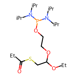 CCOC(CSC(=O)CC)OCCOP(N(C(C)C)C(C)C)N(C(C)C)C(C)C